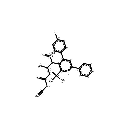 C#COC(=O)CC(O)C(c1c(-c2ccc(F)cc2)cc(-c2ccccc2)nc1C(C)(C)C)[PH](=O)O